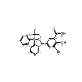 CC(C)(C)[Si](OCc1cc(Br)c(O)c(C(=O)O)c1)(c1ccccc1)c1ccccc1